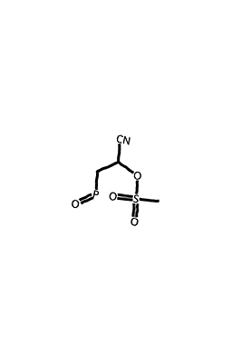 CS(=O)(=O)OC(C#N)CP=O